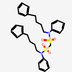 O=S(=O)(CS(=O)(=O)N(CCCCc1ccccc1)c1ccccc1)N(CCCCc1ccccc1)c1ccccc1